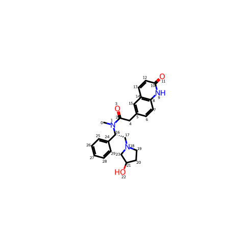 CN(C(=O)Cc1ccc2[nH]c(=O)ccc2c1)[C@H](CN1CCC(O)C1)c1ccccc1